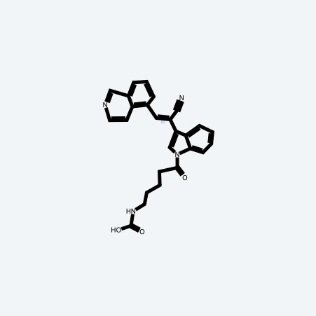 N#C/C(=C\c1cccc2cnccc12)c1cn(C(=O)CCCCNC(=O)O)c2ccccc12